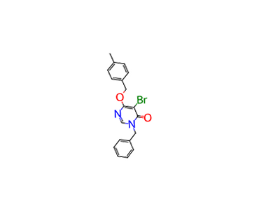 Cc1ccc(COc2ncn(Cc3ccccc3)c(=O)c2Br)cc1